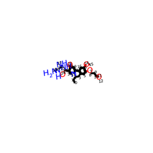 CCC1Cc2cc(OCCCOC)c(OC)cc2-c2cc(=O)c(C(=O)NC(=N)NN)cn21